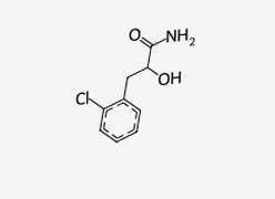 NC(=O)C(O)Cc1ccccc1Cl